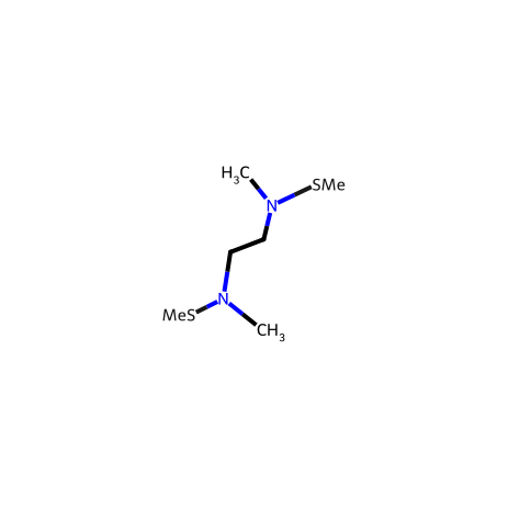 CSN(C)CCN(C)SC